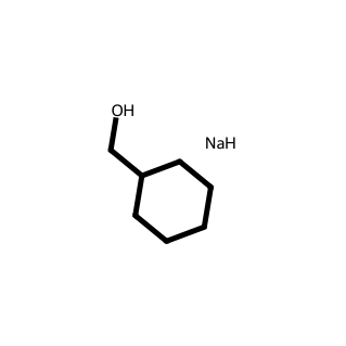 OCC1CCCCC1.[NaH]